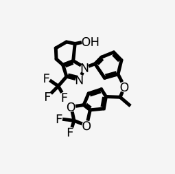 CC(Oc1cccc(-n2nc(C(F)(F)F)c3c2C(O)CCC3)c1)c1ccc2c(c1)OC(F)(F)O2